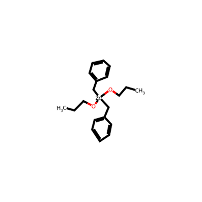 CCC[O][Zr]([CH2]c1ccccc1)([CH2]c1ccccc1)[O]CCC